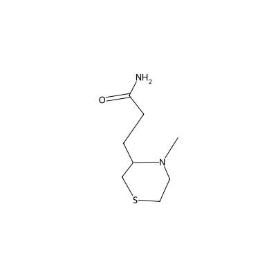 CN1CCSCC1CCC(N)=O